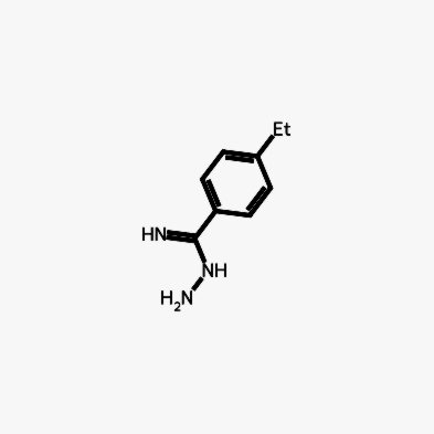 CCc1ccc(C(=N)NN)cc1